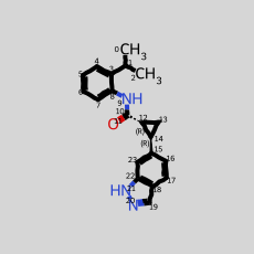 CC(C)c1ccccc1NC(=O)[C@@H]1C[C@H]1c1ccc2cn[nH]c2c1